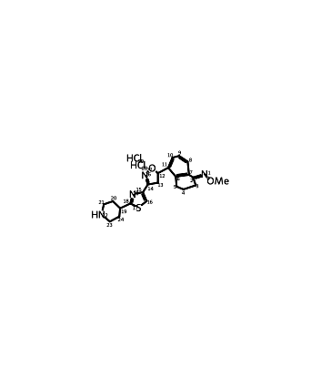 CON=C1CCCc2c1cccc2C1CC(c2csc(C3CCNCC3)n2)=NO1.Cl.Cl